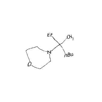 CCCCC(C)(CC)N1CCOCC1